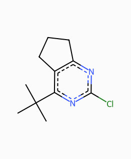 CC(C)(C)c1nc(Cl)nc2c1CCC2